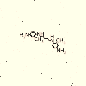 Cc1cc(N)ccc1NCCCCCNc1ccc(N)cc1C